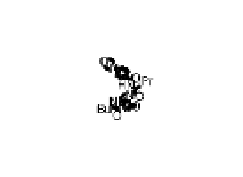 CCC(C)C(N)C(=O)N1CC(=O)C2C1CCN2C(=O)C(CC(C)C)NC(=O)c1ccc(N2CCOCC2)cc1